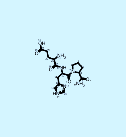 NC(=O)C1CCCN1C(=O)C(Cc1c[nH]cn1)NC(=O)C(N)CCC(=O)O